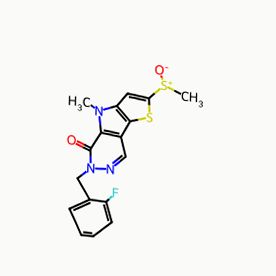 Cn1c2cc([S+](C)[O-])sc2c2cnn(Cc3ccccc3F)c(=O)c21